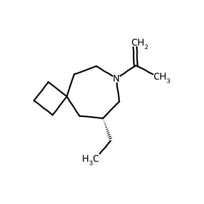 C=C(C)N1CCC2(CCC2)C[C@@H](CC)C1